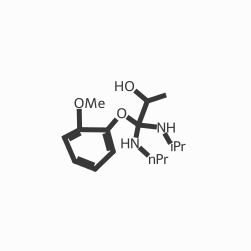 CCCNC(NC(C)C)(Oc1ccccc1OC)C(C)O